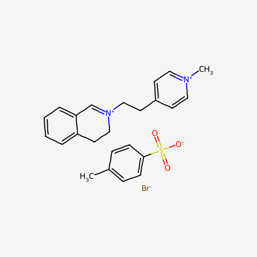 C[n+]1ccc(CC[N+]2=Cc3ccccc3CC2)cc1.Cc1ccc(S(=O)(=O)[O-])cc1.[Br-]